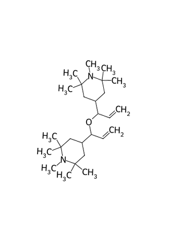 C=CC(OC(C=C)C1CC(C)(C)N(C)C(C)(C)C1)C1CC(C)(C)N(C)C(C)(C)C1